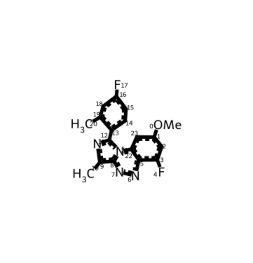 COc1cc(F)c2nnc3c(C)nc(-c4ccc(F)cc4C)n3c2c1